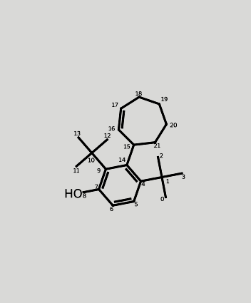 CC(C)(C)c1ccc(O)c(C(C)(C)C)c1C1C=CCCCC1